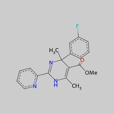 COC(=O)C1=C(C)NC(c2ccccn2)=NC1(C)c1cccc(F)c1